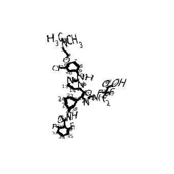 CN(C)CCOc1ccc(Nc2nccc(-c3oc(N)nc3-c3cccc(NC(=O)c4c(F)cccc4F)c3)n2)cc1Cl.O=C(O)C(F)(F)F